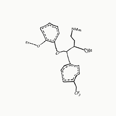 CCOc1ccccc1OC(c1ccc(C(F)(F)F)cc1)C(CNC)OC